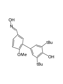 COc1ccc(/C=N/O)cc1-c1cc(C(C)(C)C)c(O)c(C(C)(C)C)c1